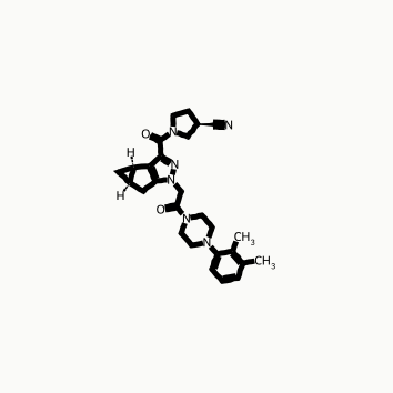 Cc1cccc(N2CCN(C(=O)Cn3nc(C(=O)N4CC[C@@H](C#N)C4)c4c3C[C@H]3C[C@@H]43)CC2)c1C